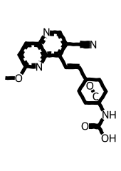 COc1ccc2ncc(C#N)c(/C=C/C34CCC(NC(=O)O)(CC3)CO4)c2n1